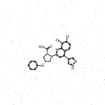 O=C(O)[C@@H]1C[C@@H](Oc2ccccc2)CN1c1cc(-c2cn[nH]c2)c2ccc(Cl)c(Cl)c2n1